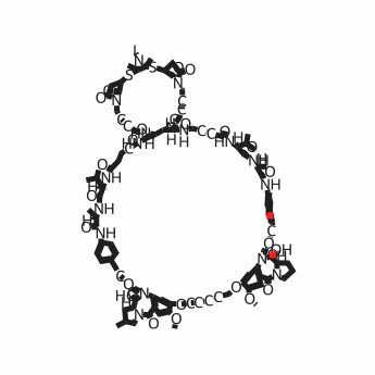 COc1cc2c3cc1OCCCCCOc1cc4c(cc1OC)C(=O)N1CC(C)C[C@H]1C(O)N4C(=O)OCc1ccc(cc1)NC(=O)[C@H](C)NC(=O)[C@H](C(C)C)NC(=O)CCCNC(=O)[C@H]1NC(=O)CCCN4C(=O)CC(SC5(C)N(I)C5(C)SC5CC(=O)N(CCCC(=O)N[C@H]1C(=O)NCCCC(=O)N[C@@H](C(C)C)C(=O)N[C@@H](C)C(=O)Nc1ccc(cc1)COC(=O)N3C(O)[C@@H]1CCCN1C2=O)C5=O)C4=O